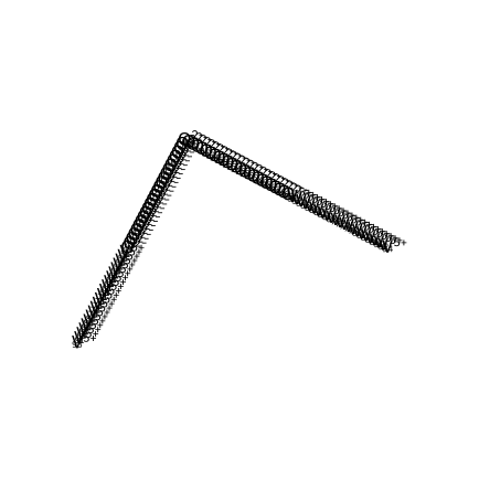 [O-2].[O-2].[O-2].[O-2].[O-2].[O-2].[O-2].[O-2].[O-2].[O-2].[O-2].[O-2].[O-2].[O-2].[O-2].[O-2].[O-2].[O-2].[O-2].[O-2].[O-2].[O-2].[O-2].[O-2].[O-2].[O-2].[O-2].[O-2].[O-2].[O-2].[O-2].[O-2].[O-2].[O-2].[O-2].[O-2].[O-2].[O-2].[O-2].[O-2].[O-2].[O-2].[O-2].[O-2].[O-2].[O-2].[O-2].[O-2].[O-2].[O-2].[V+5].[V+5].[V+5].[V+5].[V+5].[V+5].[V+5].[V+5].[V+5].[V+5].[V+5].[V+5].[V+5].[V+5].[V+5].[V+5].[V+5].[V+5].[V+5].[V+5].[V+5].[V+5].[V+5].[V+5].[V+5].[V+5].[V+5].[V+5].[V+5].[V+5].[V+5].[V+5].[V+5].[V+5].[V+5].[V+5].[V+5].[V+5].[V+5].[V+5].[V+5].[V+5].[V+5].[V+5].[V+5]